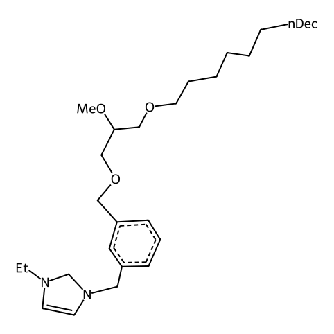 CCCCCCCCCCCCCCCCOCC(COCc1cccc(CN2C=CN(CC)C2)c1)OC